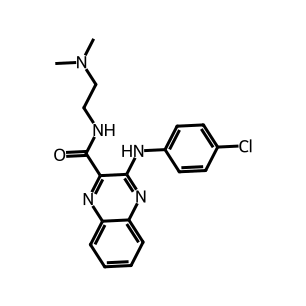 CN(C)CCNC(=O)c1nc2ccccc2nc1Nc1ccc(Cl)cc1